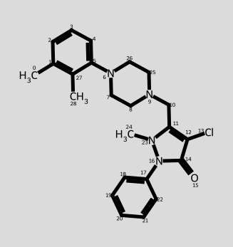 Cc1cccc(N2CCN(Cc3c(Cl)c(=O)n(-c4ccccc4)n3C)CC2)c1C